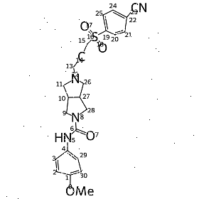 COc1ccc(NC(=O)N2CC3CN(CCCS(=O)(=O)c4ccc(C#N)cc4)CC3C2)cc1